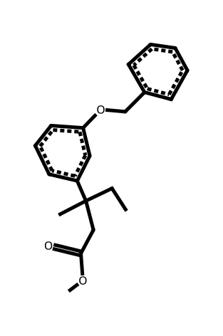 CCC(C)(CC(=O)OC)c1cccc(OCc2ccccc2)c1